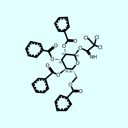 N=C(O[C@H]1O[C@H](COC(=O)c2ccccc2)[C@@H](OC(=O)c2ccccc2)[C@H](OC(=O)c2ccccc2)[C@@H]1OC(=O)c1ccccc1)C(Cl)(Cl)Cl